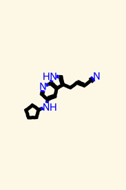 N#CC=CCc1c[nH]c2ncc(NC3CCCC3)cc12